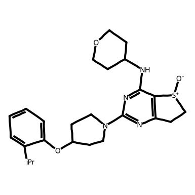 CC(C)c1ccccc1OC1CCN(c2nc3c(c(NC4CCOCC4)n2)[S+]([O-])CC3)CC1